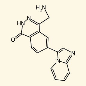 NCc1n[nH]c(=O)c2ccc(-c3cnc4ccccn34)cc12